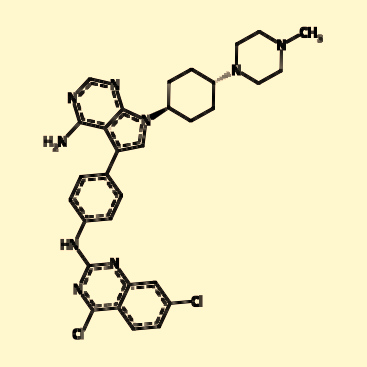 CN1CCN([C@H]2CC[C@H](n3cc(-c4ccc(Nc5nc(Cl)c6ccc(Cl)cc6n5)cc4)c4c(N)ncnc43)CC2)CC1